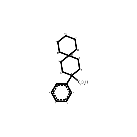 O=C(O)C1(c2ccccc2)CCC2(CCCCC2)CC1